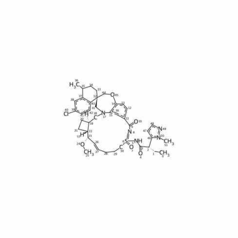 CC[C@H](C(=O)NS1(=O)=NC(=O)c2ccc3c(c2)N(C[C@@H]2CC[C@H]2[C@@H](OC)/C=C/CCC1)C[C@@]1(CCC(C)c2cc(Cl)ccc21)CO3)c1ccnn1C